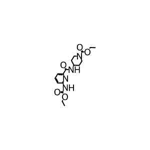 CCOC(=O)Nc1cccc(C(=O)NC2CCN(C(=O)OCC)CC2)n1